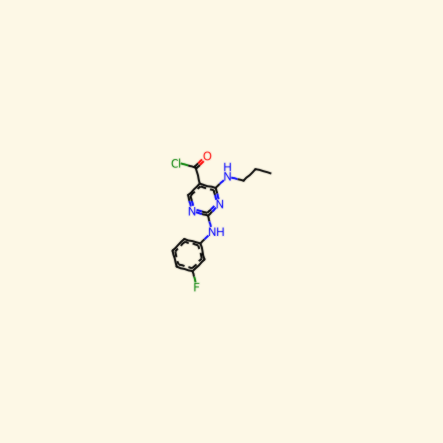 CCCNc1nc(Nc2cccc(F)c2)ncc1C(=O)Cl